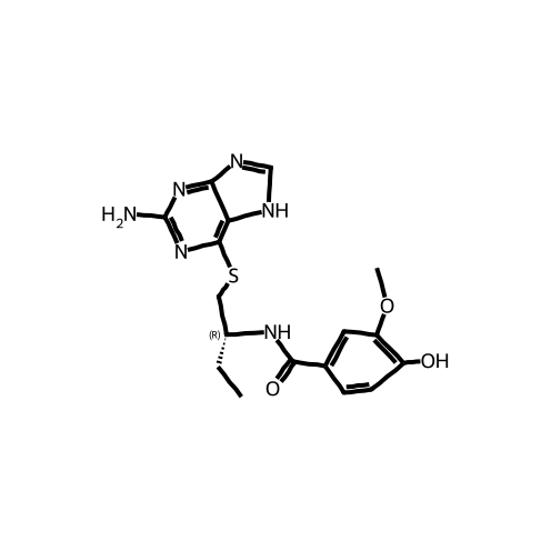 CC[C@H](CSc1nc(N)nc2nc[nH]c12)NC(=O)c1ccc(O)c(OC)c1